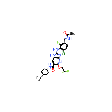 CC(C)(C)C(=O)NCc1ccc(Cl)c(Nc2nc3nc(OCC(F)F)c(C(=O)N[C@H]4CC[C@H](C(F)(F)F)CC4)cc3[nH]2)c1F